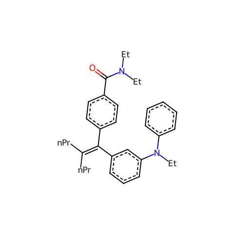 CCCC(CCC)=C(c1ccc(C(=O)N(CC)CC)cc1)c1cccc(N(CC)c2ccccc2)c1